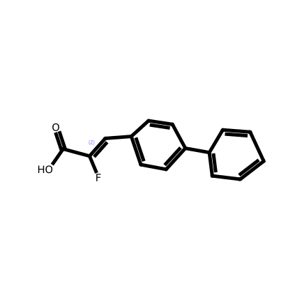 O=C(O)/C(F)=C/c1ccc(-c2ccccc2)cc1